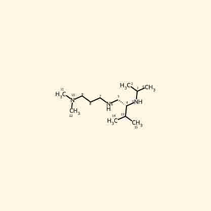 CC(C)N[C@@H](CNCCCN(C)C)C(C)C